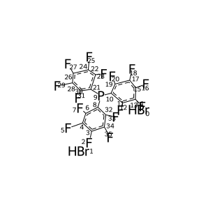 Br.Br.Fc1c(F)c(F)c(P(c2c(F)c(F)c(F)c(F)c2F)c2c(F)c(F)c(F)c(F)c2F)c(F)c1F